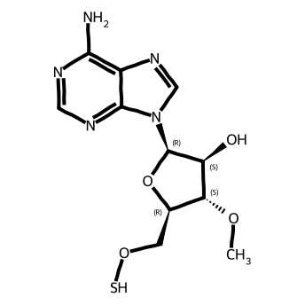 CO[C@H]1[C@H](O)[C@H](n2cnc3c(N)ncnc32)O[C@@H]1COS